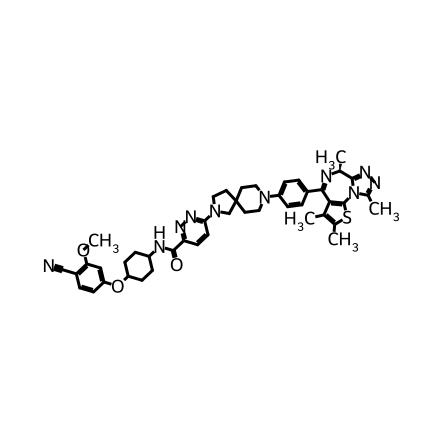 COc1cc(OC2CCC(NC(=O)c3ccc(N4CCC5(CCN(c6ccc(C7=N[C@@H](C)c8nnc(C)n8-c8sc(C)c(C)c87)cc6)CC5)C4)nn3)CC2)ccc1C#N